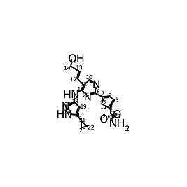 NS(=O)(=O)c1ccc(-c2ncc(C=CCO)c(Nc3cc(C4CC4)[nH]n3)n2)s1